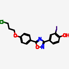 Oc1ccc(-c2noc(-c3ccc(OCCCCl)cc3)n2)cc1I